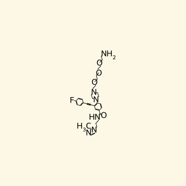 Cc1nccn1CCCNC(=O)c1ccc(N2CCN(CCOCCOCCOCCN)CC2)c(C#Cc2ccc(F)cc2)c1